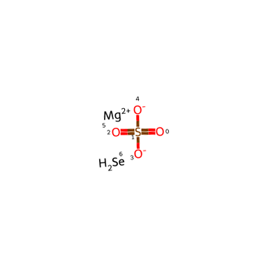 O=S(=O)([O-])[O-].[Mg+2].[SeH2]